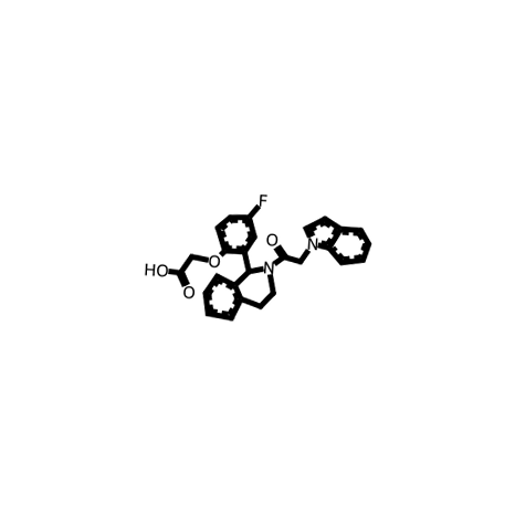 O=C(O)COc1ccc(F)cc1C1c2ccccc2CCN1C(=O)Cn1ccc2ccccc21